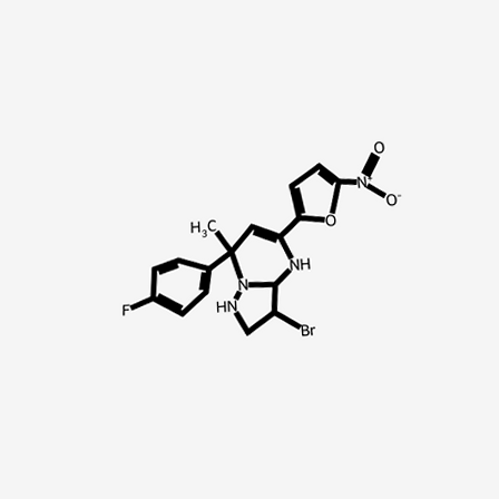 CC1(c2ccc(F)cc2)C=C(c2ccc([N+](=O)[O-])o2)NC2C(Br)CNN21